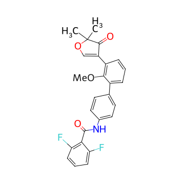 COc1c(C2=COC(C)(C)C2=O)cccc1-c1ccc(NC(=O)c2c(F)cccc2F)cc1